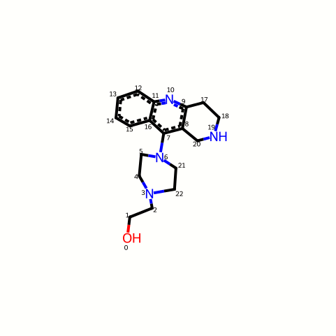 OCCN1CCN(c2c3c(nc4ccccc24)CCNC3)CC1